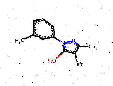 Cc1cccc(-n2nc(C)c(C(C)C)c2O)c1